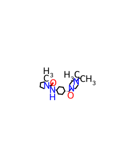 CC(C)N1CCN(C(=O)[C@H]2CC[C@H](NC(=O)N3CCCC3C)CC2)CC1